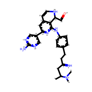 CC(CC(=N)CCc1ccc(Nc2nc(-c3cnc(N)nc3)cc3c2C(C=O)NC=C3)cc1)N(C)C